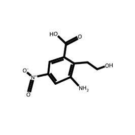 Nc1cc([N+](=O)[O-])cc(C(=O)O)c1CCO